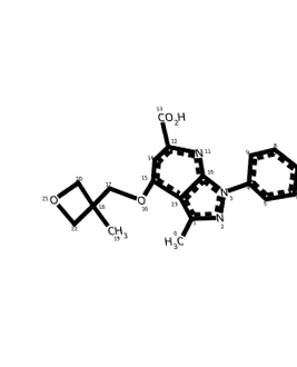 Cc1nn(-c2ccccc2)c2nc(C(=O)O)cc(OCC3(C)COC3)c12